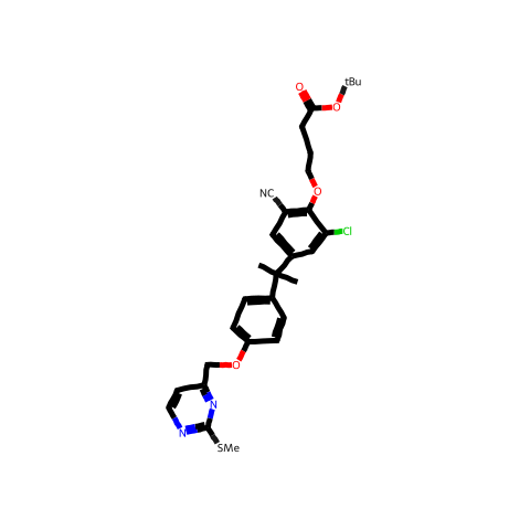 CSc1nccc(COc2ccc(C(C)(C)c3cc(Cl)c(OCCCC(=O)OC(C)(C)C)c(C#N)c3)cc2)n1